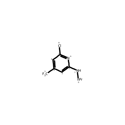 CCCNc1cc(C(F)(F)F)cc(Cl)n1